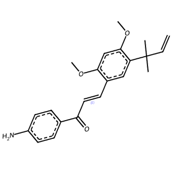 C=CC(C)(C)c1cc(/C=C/C(=O)c2ccc(N)cc2)c(OC)cc1OC